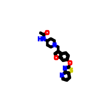 CC(=O)NC1CCN(Cc2coc3cc(Oc4nc5ncccc5s4)ccc23)CC1